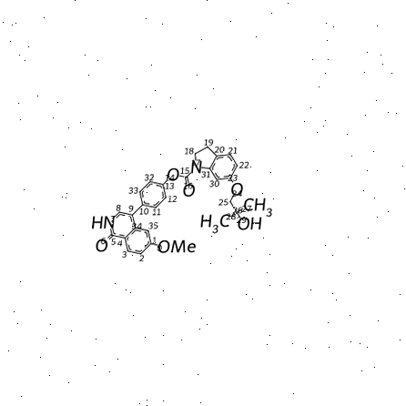 COc1ccc2c(=O)[nH]cc(-c3ccc(OC(=O)N4CCc5ccc(OCC(C)(C)O)cc54)cc3)c2c1